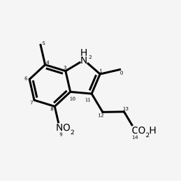 Cc1[nH]c2c(C)ccc([N+](=O)[O-])c2c1CCC(=O)O